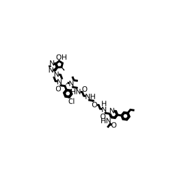 CCc1cccc(-c2cnc(C(=O)NCCOCCNCC(=O)NCCN(C[C@@H](C(=O)N3CCN(c4ncnc5c4[C@H](C)C[C@H]5O)CC3)c3ccc(Cl)cc3)C(C)C)c(NC(C)=O)c2)c1